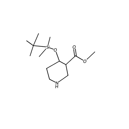 COC(=O)C1CNCCC1O[Si](C)(C)C(C)(C)C